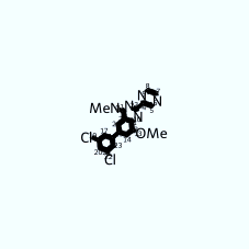 CNc1nc(-c2cnccn2)nc2c(OC)cc(-c3cc(Cl)cc(Cl)c3)cc12